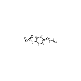 C=CCOc1ccc(CC(=O)OC)cc1